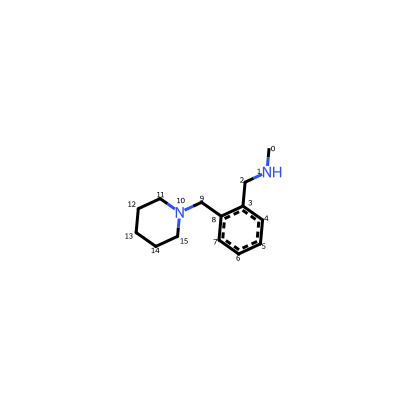 CNCc1ccccc1CN1CCCCC1